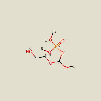 COC(OCCO)OP(=O)(OC)OC